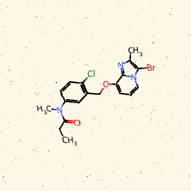 CCC(=O)N(C)c1ccc(Cl)c(COc2cccn3c(Br)c(C)nc23)c1